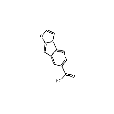 O=C(O)c1ccc2c(c1)cc1occn12